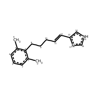 Cc1cccc(C)c1CCCC=Cc1c[nH]cn1